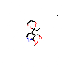 CCC1(c2ccnc(OC)c2C=O)OCCCO1